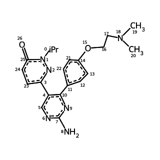 CC(C)n1nc(-c2cnc(N)nc2-c2ccc(OCCN(C)C)cc2)ccc1=O